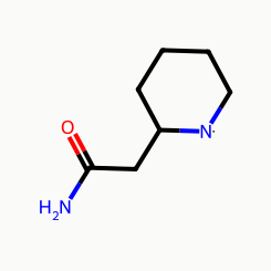 NC(=O)CC1CCCC[N]1